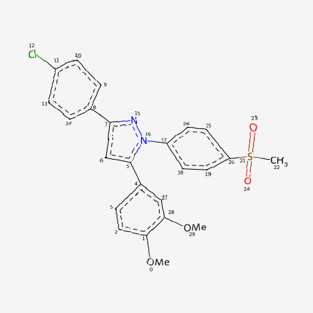 COc1ccc(-c2cc(-c3ccc(Cl)cc3)nn2-c2ccc(S(C)(=O)=O)cc2)cc1OC